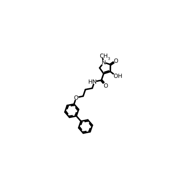 CN1CC(C(=O)NCCCOc2cccc(-c3ccccc3)c2)=C(O)C1=O